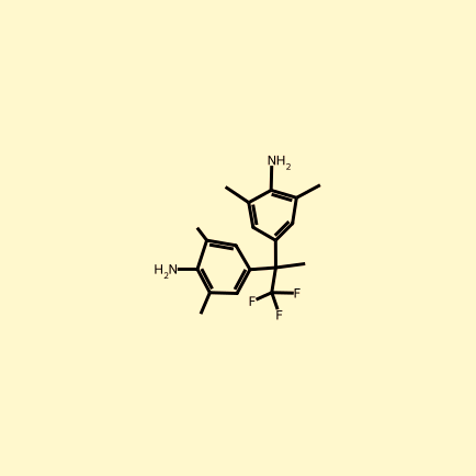 Cc1cc(C(C)(c2cc(C)c(N)c(C)c2)C(F)(F)F)cc(C)c1N